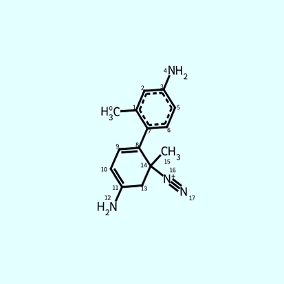 Cc1cc(N)ccc1C1=CC=C(N)CC1(C)[N+]#N